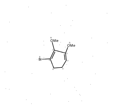 COC1=CC[CH]C(Br)=C1OC